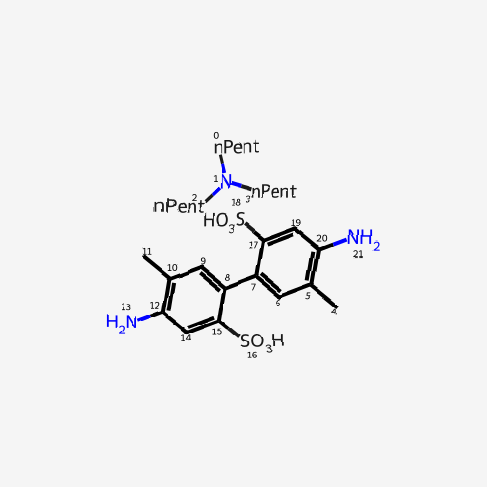 CCCCCN(CCCCC)CCCCC.Cc1cc(-c2cc(C)c(N)cc2S(=O)(=O)O)c(S(=O)(=O)O)cc1N